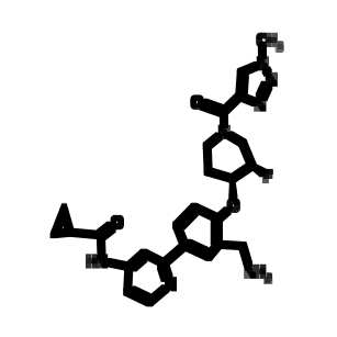 Cn1cc(C(=O)N2CC[C@H](Oc3ccc(-c4cc(NC(=O)C5CC5)ccn4)cc3CN)[C@H](F)C2)nn1